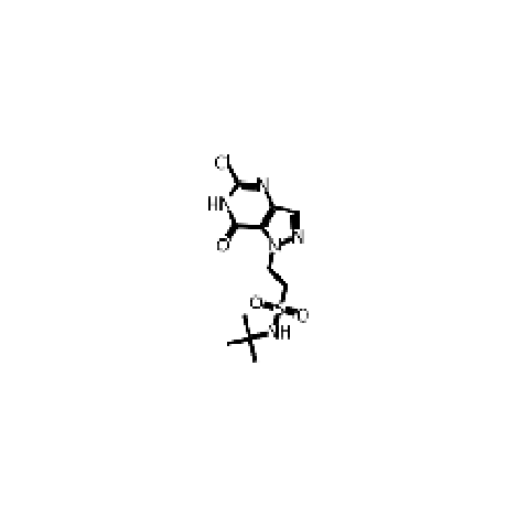 CC(C)(C)NS(=O)(=O)CCn1ncc2nc(Cl)[nH]c(=O)c21